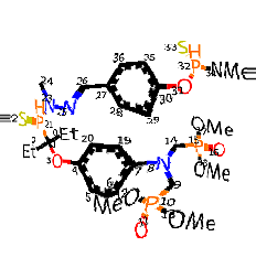 CCC(CC)(Oc1ccc(N(CP(=O)(OC)OC)CP(=O)(OC)OC)cc1)[PH](=S)N(C)/N=C/c1ccc(O[PH](=S)NC)cc1